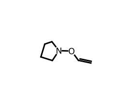 C=CON1CCCC1